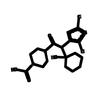 O=C(O)N1CCN(C(=O)C(c2cc(Cl)sc2Cl)C2(O)CCCCC2)CC1